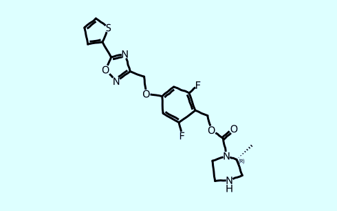 C[C@@H]1CNCCN1C(=O)OCc1c(F)cc(OCc2noc(-c3cccs3)n2)cc1F